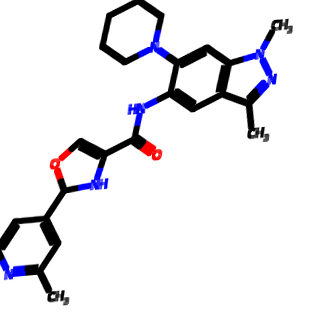 Cc1cc(C2NC(C(=O)Nc3cc4c(C)nn(C)c4cc3N3CCCCC3)=CO2)ccn1